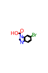 O=C(O)n1cnc2ccc(Br)cc21